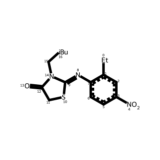 CCc1cc([N+](=O)[O-])ccc1N=C1SCC(=O)N1CC(C)CC